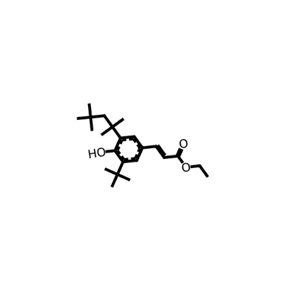 CCOC(=O)C=Cc1cc(C(C)(C)C)c(O)c(C(C)(C)CC(C)(C)C)c1